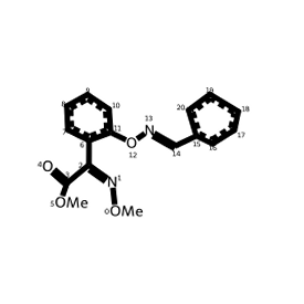 CON=C(C(=O)OC)c1ccccc1ON=Cc1ccccc1